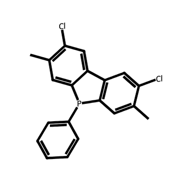 Cc1cc2c(cc1Cl)c1cc(Cl)c(C)cc1p2-c1ccccc1